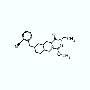 CCOC(=O)C1CC2CC(Cc3ccccc3C#N)CCC2CN1C(=O)OC